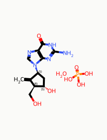 C=C1[C@H](CO)[C@@H](O)C[C@@H]1n1cnc2c(=O)[nH]c(N)nc21.O.O=P(O)(O)O